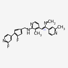 C=N/C(=C\c1ccnc(NCc2ccc(-c3ccnc(F)c3)c(F)c2)c1C)c1ccnc(C)c1